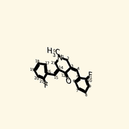 CN1CC(=Cc2ccccc2F)C(=O)C(=Cc2ccccc2F)C1